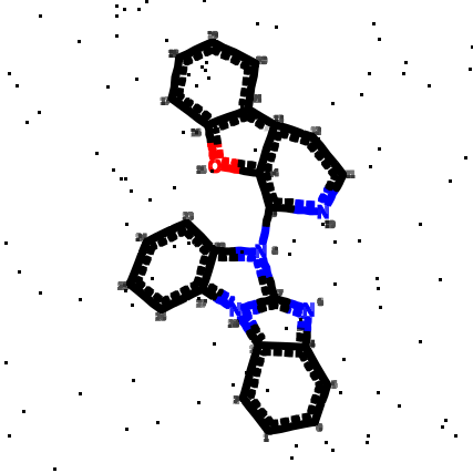 c1ccc2c(c1)nc1n(-c3nccc4c3oc3ccccc34)c3ccccc3n21